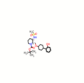 CC(C)(C)OC(=O)N1CCC[C@H](NS(C)(=O)=O)[C@@H]1COC1CCC(c2ccccc2O)CC1